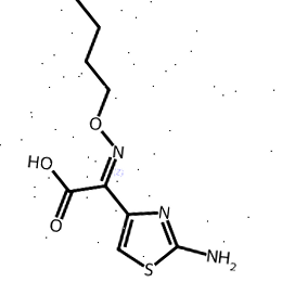 CCCCO/N=C(\C(=O)O)c1csc(N)n1